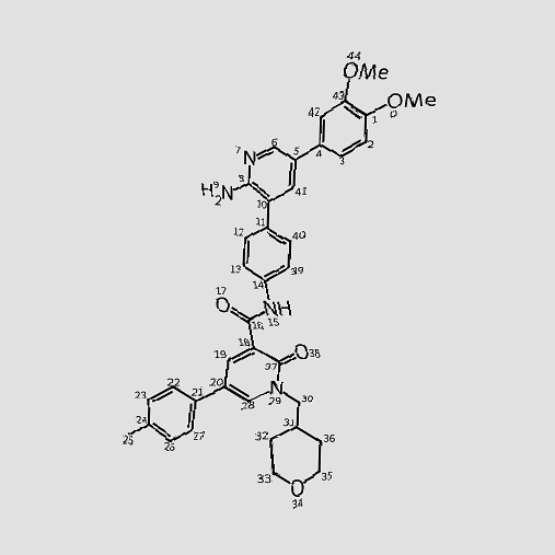 COc1ccc(-c2cnc(N)c(-c3ccc(NC(=O)c4cc(-c5ccc(C)cc5)cn(CC5CCOCC5)c4=O)cc3)c2)cc1OC